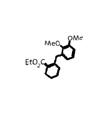 CCOC(=O)C1=C(Cc2cccc(OC)c2OC)CCCC1